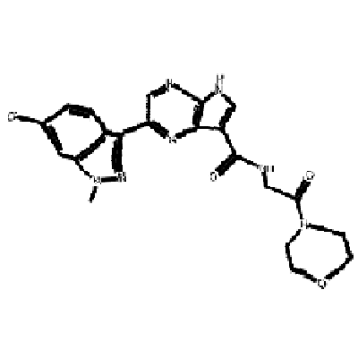 Cn1nc(-c2cnc3[nH]cc(C(=O)NCC(=O)N4CCOCC4)c3n2)c2ccc(Cl)cc21